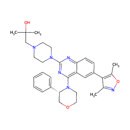 Cc1noc(C)c1-c1ccc2nc(N3CCN(CC(C)(C)O)CC3)nc(N3CCOC[C@@H]3c3ccccc3)c2c1